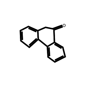 O=C1Cc2ccccc2-c2ccccc21